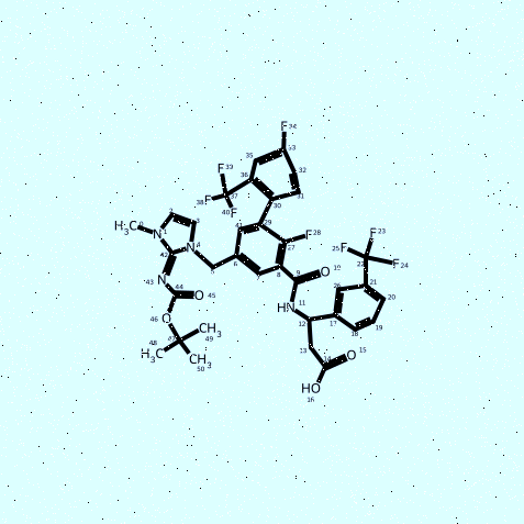 Cn1ccn(Cc2cc(C(=O)NC(CC(=O)O)c3cccc(C(F)(F)F)c3)c(F)c(-c3ccc(F)cc3C(F)(F)F)c2)/c1=N\C(=O)OC(C)(C)C